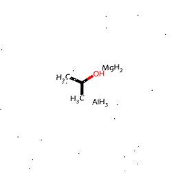 CC(C)O.[AlH3].[MgH2]